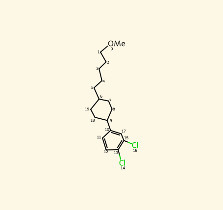 COCCCCCC1CCC(c2ccc(Cl)c(Cl)c2)CC1